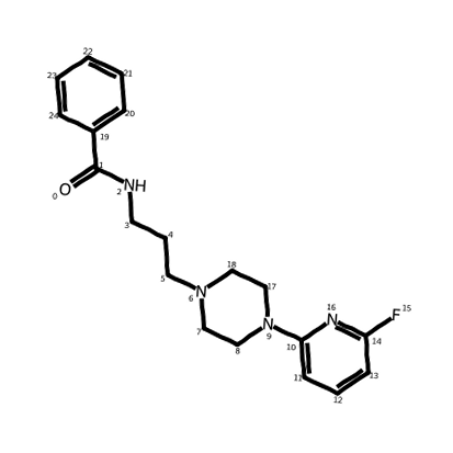 O=C(NCCCN1CCN(c2cccc(F)n2)CC1)c1ccccc1